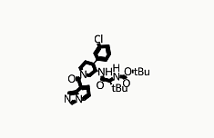 CC(C)(C)OC(=O)N[C@H](C(=O)N[C@@H]1CN(C(=O)c2cccn3cncc23)CC[C@H]1c1cccc(Cl)c1)C(C)(C)C